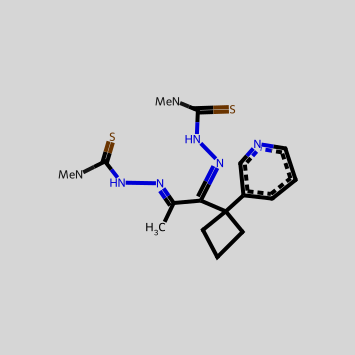 CNC(=S)N/N=C(\C(C)=N\NC(=S)NC)C1(c2cccnc2)CCC1